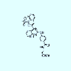 CCN(c1ncccc1C=Cc1nc(Nc2ccc(C(=O)NCCOC)cc2)nc2c1C=CCN2)S(C)(=O)=O